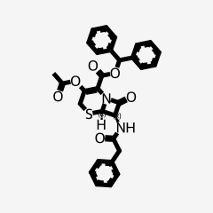 CC(=O)OC1=C(C(=O)OC(c2ccccc2)c2ccccc2)N2C(=O)[C@@H](NC(=O)Cc3ccccc3)[C@H]2SC1